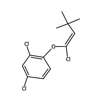 CC(C)(C)/C=C(/Cl)Oc1ccc(Cl)cc1Cl